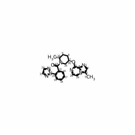 Cc1cnc2c(O[C@@H]3CC[C@@H](C)N(C(=O)c4ccccc4-n4nccn4)C3)nccn12